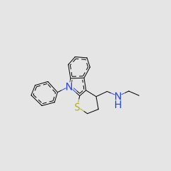 CCNCC1CCSc2c1c1ccccc1n2-c1ccccc1